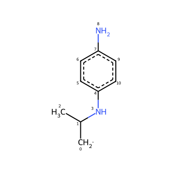 [CH2]C(C)Nc1ccc(N)cc1